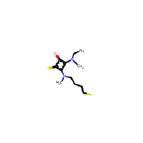 CCN(C)c1c(N(C)CCCCS)c(=S)c1=O